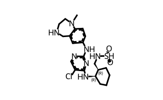 CN1CCNCc2cc(Nc3ncc(Cl)c(N[C@@H]4CCCC[C@@H]4CN[SH](=O)=O)n3)ccc21